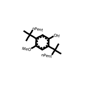 CCCCCC(C)(C)c1cc(OC)c(C(C)(C)CCCCC)cc1O